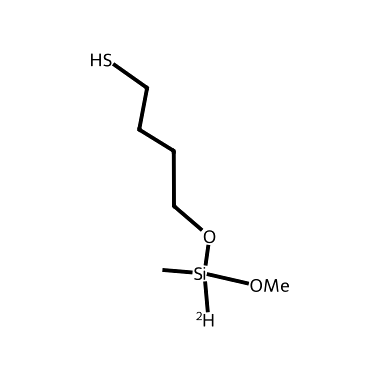 [2H][Si](C)(OC)OCCCCS